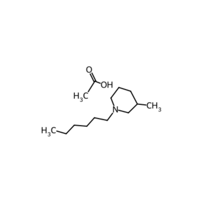 CC(=O)O.CCCCCCN1CCCC(C)C1